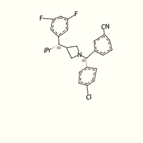 CC(C)[C@H](c1cc(F)cc(F)c1)C1CN([C@@H](c2ccc(Cl)cc2)c2cccc(C#N)c2)C1